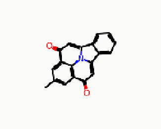 Cc1cc2c(=O)cc3c4ccccc4c4cc(=O)c(c1)c2n34